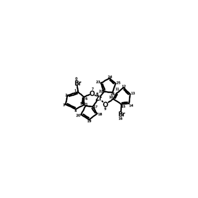 Brc1ccccc1[O][Zr]([O]c1ccccc1Br)([C]1=CC=CC1)[C]1=CC=CC1